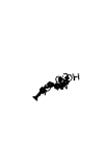 O=C(O)c1ccc2nc(CN3CC=C(c4cccc(OCc5ccc(C#CC6CC6)cc5F)c4)CC3)n(C[C@@H]3CCO3)c2c1